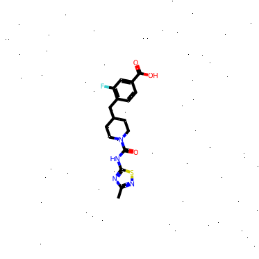 Cc1nsc(NC(=O)N2CCC(Cc3ccc(C(=O)O)cc3F)CC2)n1